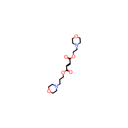 O=C(/C=C/C(=O)OCCN1CCOCC1)OCCCN1CCOCC1